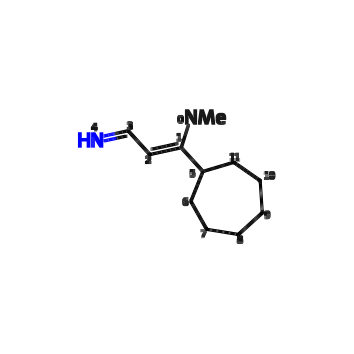 CN/C(=C\C=N)C1CCCCCC1